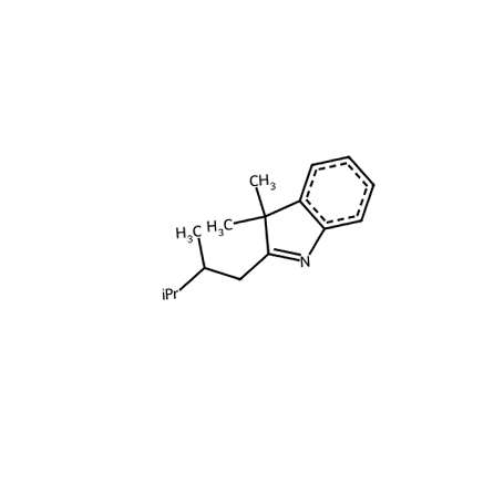 CC(C)C(C)CC1=Nc2ccccc2C1(C)C